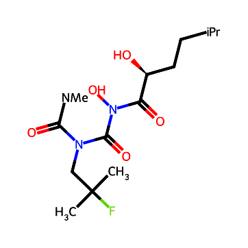 CNC(=O)N(CC(C)(C)F)C(=O)N(O)C(=O)[C@@H](O)CCC(C)C